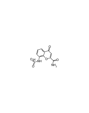 NC(=O)c1cc(=O)c2cccc(N[SH](=O)=O)c2o1